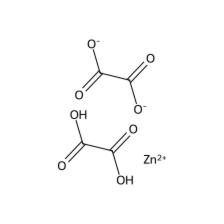 O=C(O)C(=O)O.O=C([O-])C(=O)[O-].[Zn+2]